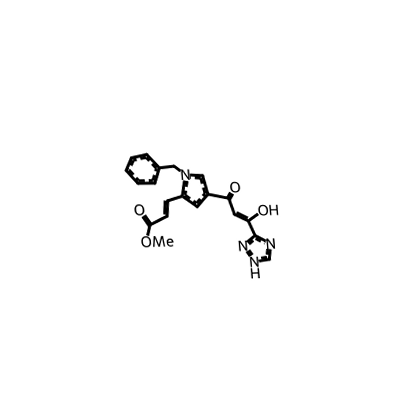 COC(=O)C=Cc1cc(C(=O)C=C(O)c2nc[nH]n2)cn1Cc1ccccc1